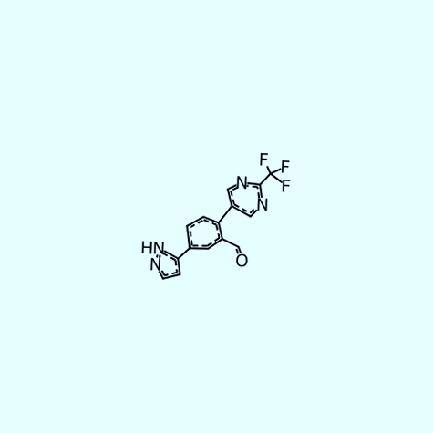 O=Cc1cc(-c2ccn[nH]2)ccc1-c1cnc(C(F)(F)F)nc1